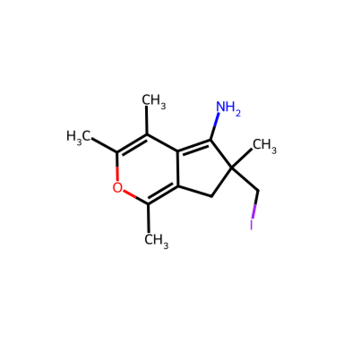 CC1=C(C)C2=C(N)C(C)(CI)CC2=C(C)O1